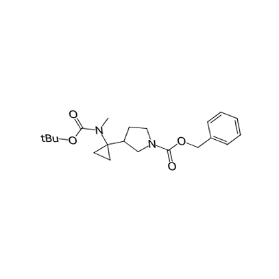 CN(C(=O)OC(C)(C)C)C1(C2CCN(C(=O)OCc3ccccc3)C2)CC1